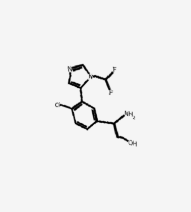 NC(CO)c1ccc(Cl)c(-c2cncn2C(F)F)c1